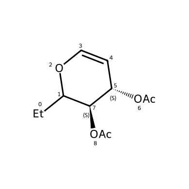 CCC1OC=C[C@H](OC(C)=O)[C@H]1OC(C)=O